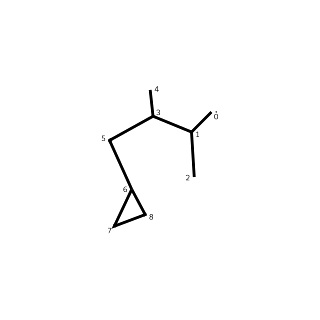 [CH2]C(C)C(C)CC1CC1